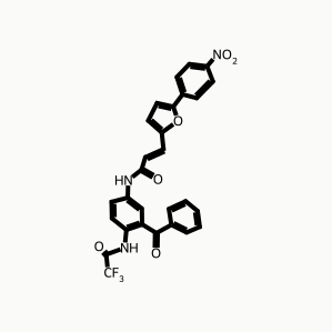 O=C(C=Cc1ccc(-c2ccc([N+](=O)[O-])cc2)o1)Nc1ccc(NC(=O)C(F)(F)F)c(C(=O)c2ccccc2)c1